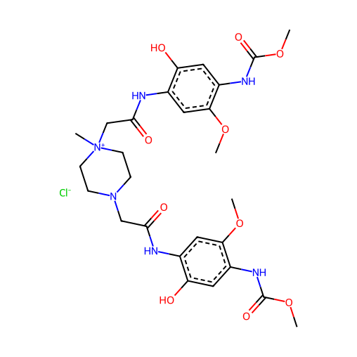 COC(=O)Nc1cc(O)c(NC(=O)CN2CC[N+](C)(CC(=O)Nc3cc(OC)c(NC(=O)OC)cc3O)CC2)cc1OC.[Cl-]